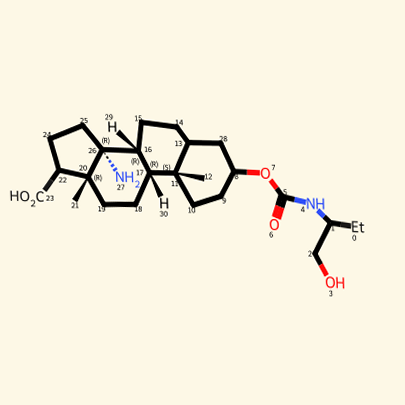 CCC(CO)NC(=O)OC1CC[C@@]2(C)C(CC[C@@H]3[C@H]2CC[C@]2(C)C(C(=O)O)CC[C@@]32N)C1